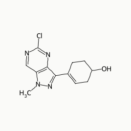 Cn1nc(C2=CCC(O)CC2)c2nc(Cl)ncc21